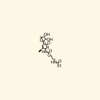 C#Cc1cn([C@@H]2O[C@H](C)C(O)C2O)c(=O)nc1NC(=O)OCCCNC(=O)CC